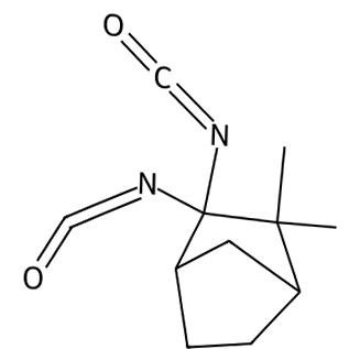 CC1(C)C2CCC(C2)C1(N=C=O)N=C=O